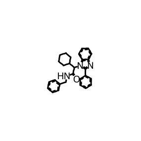 O=C(NCc1ccccc1)C(C1CCCCC1)n1c(-c2ccccc2)nc2ccccc21